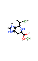 CC(C)C1NC(C(=O)O)Cc2[nH]cnc21.Cl.Cl